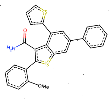 COc1ccccc1-c1sc2cc(-c3ccccc3)cc(-c3cccs3)c2c1C(N)=O